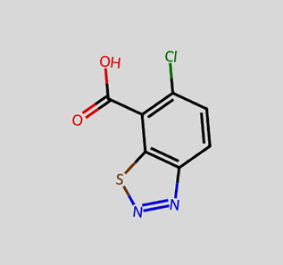 O=C(O)c1c(Cl)ccc2nnsc12